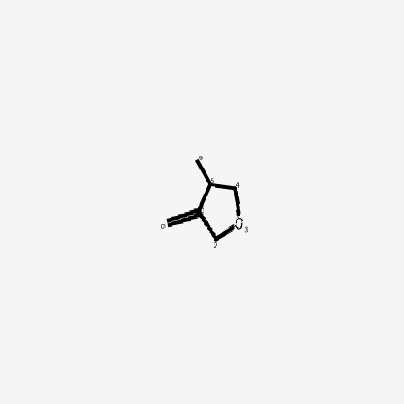 C=C1COCC1C